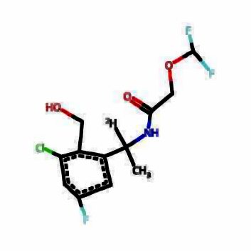 [2H]C(C)(NC(=O)COC(F)F)c1cc(F)cc(Cl)c1CO